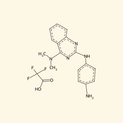 CN(C)c1nc(Nc2ccc(N)cc2)nc2ccccc12.O=C(O)C(F)(F)F